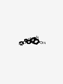 C[C@]12CC[C@H](O)C[C@H]1CC[C@@H]1[C@@H]2CC[C@]2(C)[C@@H](c3ccnnc3)CC[C@]12O